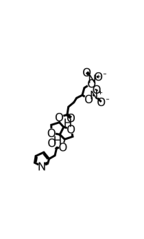 O=C(CCCC(CO[N+](=O)[O-])O[N+](=O)[O-])O[C@@H]1CO[C@H]2[C@@H]1OC[C@H]2OC(=O)Cc1cccnc1